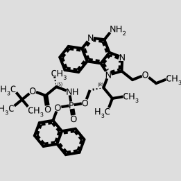 CCOCc1nc2c(N)nc3ccccc3c2n1[C@@H](COP(=O)(N[C@@H](C)C(=O)OC(C)(C)C)Oc1cccc2ccccc12)C(C)C